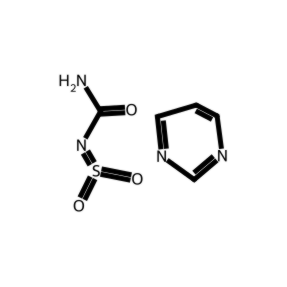 NC(=O)N=S(=O)=O.c1cncnc1